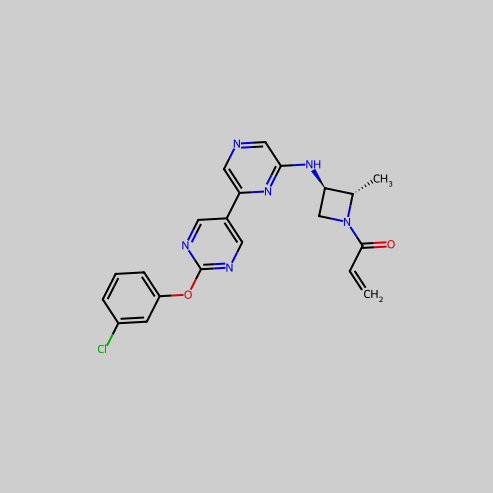 C=CC(=O)N1C[C@@H](Nc2cncc(-c3cnc(Oc4cccc(Cl)c4)nc3)n2)[C@@H]1C